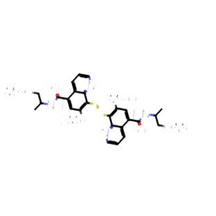 COCC(C)NC(=O)c1cc(OC)c(SSc2c(OC)cc(C(=O)NC(C)COC)c3cccnc23)c2ncccc12